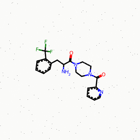 NC(Cc1ccccc1C(F)(F)F)C(=O)N1CCN(C(=O)c2ccccn2)CC1